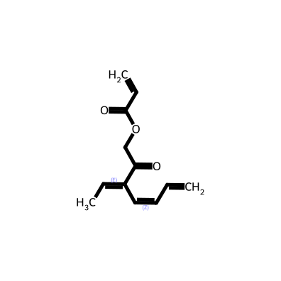 C=C/C=C\C(=C/C)C(=O)COC(=O)C=C